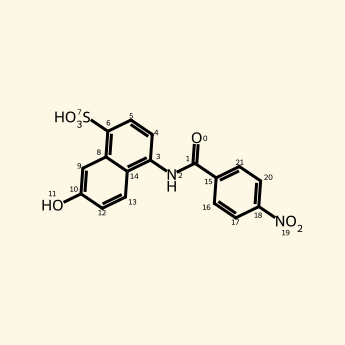 O=C(Nc1ccc(S(=O)(=O)O)c2cc(O)ccc12)c1ccc([N+](=O)[O-])cc1